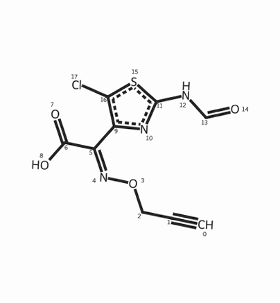 C#CCO/N=C(/C(=O)O)c1nc(NC=O)sc1Cl